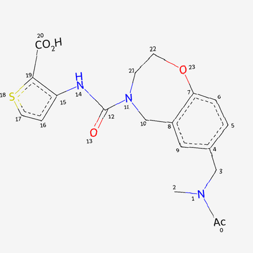 CC(=O)N(C)Cc1ccc2c(c1)CN(C(=O)Nc1ccsc1C(=O)O)CCO2